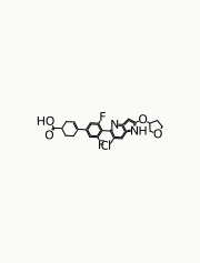 O=C(O)C1CC=C(c2cc(F)c(-c3nc4cc(O[C@H]5CCOC5)[nH]c4cc3Cl)c(F)c2)CC1